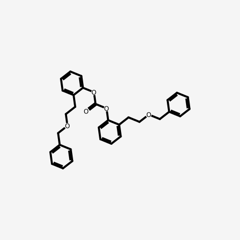 O=C(Oc1ccccc1CCOCc1ccccc1)Oc1ccccc1CCOCc1ccccc1